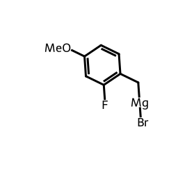 COc1ccc([CH2][Mg][Br])c(F)c1